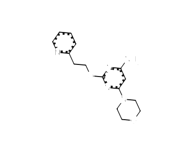 Nc1cc(N2CCOCC2)nc(OCCc2ccccn2)n1